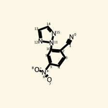 N#Cc1ccc([N+](=O)[O-])cc1-n1nccn1